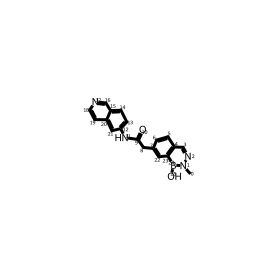 CN1N=Cc2ccc(CC(=O)Nc3ccc4cnccc4c3)cc2B1O